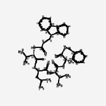 CC(C)C[C@@H](OC(=O)[C@@H](NC(=O)OCC1c2ccccc2-c2ccccc21)C(C)C)C(=O)N[C@@H](C(=O)O[C@@H](C)C(=O)OCc1ccccc1)C(C)C